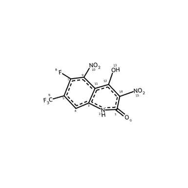 O=c1[nH]c2cc(C(F)(F)F)c(F)c([N+](=O)[O-])c2c(O)c1[N+](=O)[O-]